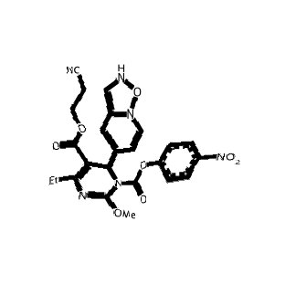 CCC1=C(C(=O)OCCC#N)C(C2=CC3=CNON3C=C2)N(C(=O)Oc2ccc([N+](=O)[O-])cc2)C(OC)=N1